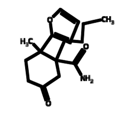 CCCCC1(C(N)=O)CC(=O)CCC1(C)c1ccco1